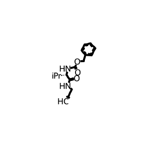 C#CCNC(=O)[C@@H](NC(=O)OCc1ccccc1)C(C)C